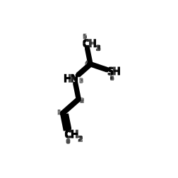 C=CCNC(C)S